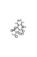 CC(=O)c1c(O)c2c(=O)n(C)c3ccccc3c2oc1=O